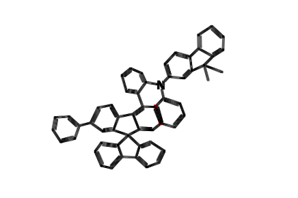 CC1(C)c2ccccc2-c2ccc(N(c3ccccc3)c3ccccc3-c3cccc4c3-c3ccc(-c5ccccc5)cc3C43c4ccccc4-c4ccccc43)cc21